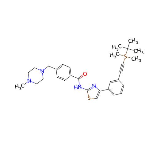 CN1CCN(Cc2ccc(C(=O)Nc3nc(-c4cccc(C#CS(C)(C)C(C)(C)C)c4)cs3)cc2)CC1